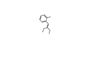 CCC(=Cc1ccccc1C)CC